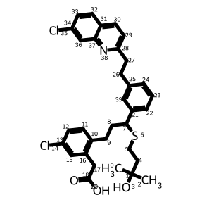 CC(C)(O)CCSC(CCc1ccc(Cl)cc1CC(=O)O)c1cccc(CCc2ccc3ccc(Cl)cc3n2)c1